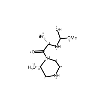 COC(O)N[C@H](C(=O)N1CCNC[C@@H]1C)C(C)C